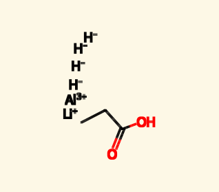 CCC(=O)O.[Al+3].[H-].[H-].[H-].[H-].[Li+]